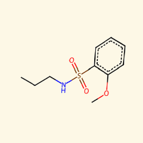 CCCNS(=O)(=O)c1ccccc1OC